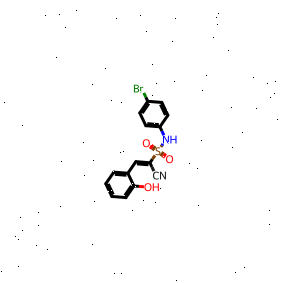 N#C/C(=C\c1ccccc1O)S(=O)(=O)Nc1ccc(Br)cc1